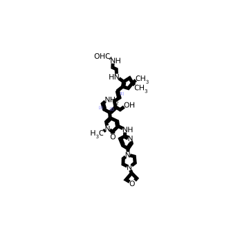 Cn1cc(C(/C=C\N)=C(\CO)C/C=C/C2=C(NCCNC=O)CC(C)(C)C2)cc(Nc2ccc(N3CCN(C4COC4)CC3)cn2)c1=O